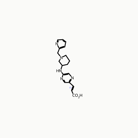 O=C(O)/C=C/c1cnc(NC2CCCN(Cc3ccccn3)C2)cn1